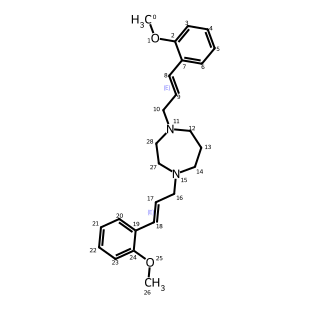 COc1ccccc1/C=C/CN1CCCN(C/C=C/c2ccccc2OC)CC1